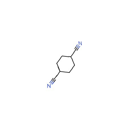 N#CC1CCC(C#N)CC1